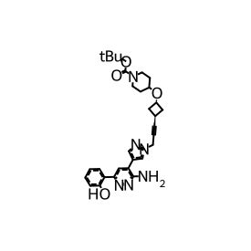 CC(C)(C)OC(=O)N1CCC(O[C@H]2C[C@H](C#CCn3cc(-c4cc(-c5ccccc5O)nnc4N)cn3)C2)CC1